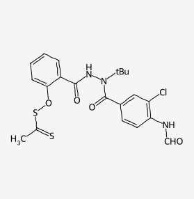 CC(=S)SOc1ccccc1C(=O)NN(C(=O)c1ccc(NC=O)c(Cl)c1)C(C)(C)C